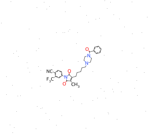 CC1=C(CCCCCN2CCN(C(=O)c3ccccc3)CC2)C(=O)N(c2ccc(C#N)c(C(F)(F)F)c2)C1=O